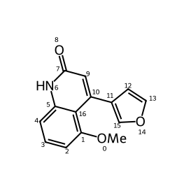 COc1cccc2[nH]c(=O)cc(-c3ccoc3)c12